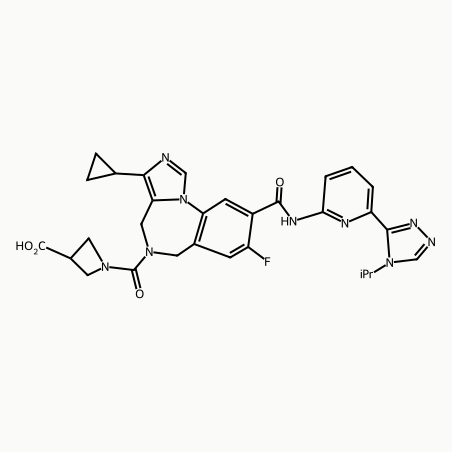 CC(C)n1cnnc1-c1cccc(NC(=O)c2cc3c(cc2F)CN(C(=O)N2CC(C(=O)O)C2)Cc2c(C4CC4)ncn2-3)n1